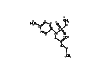 CCOC(=O)CN(c1ccc(N)cc1)S(=O)(=O)CC